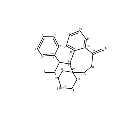 CCC(c1ccccc1)N1c2ccccc2C(=O)CCC12CCNCC2